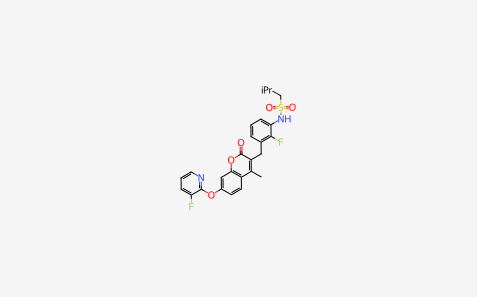 Cc1c(Cc2cccc(NS(=O)(=O)CC(C)C)c2F)c(=O)oc2cc(Oc3ncccc3F)ccc12